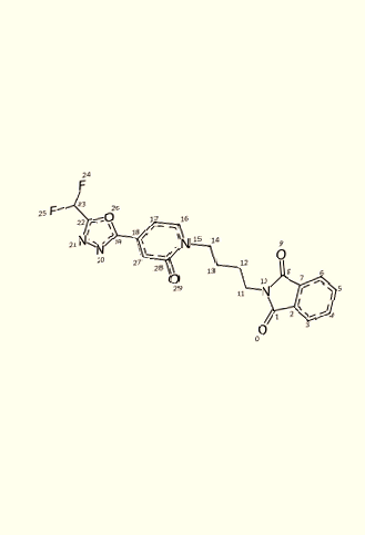 O=C1c2ccccc2C(=O)N1CCCCn1ccc(-c2nnc(C(F)F)o2)cc1=O